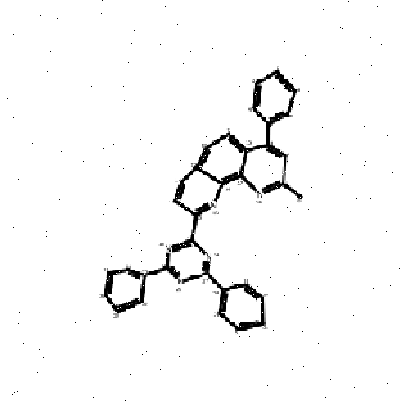 Cc1cc(-c2ccccc2)c2ccc3ccc(-c4nc(-c5ccccc5)nc(-c5ccccc5)n4)nc3c2n1